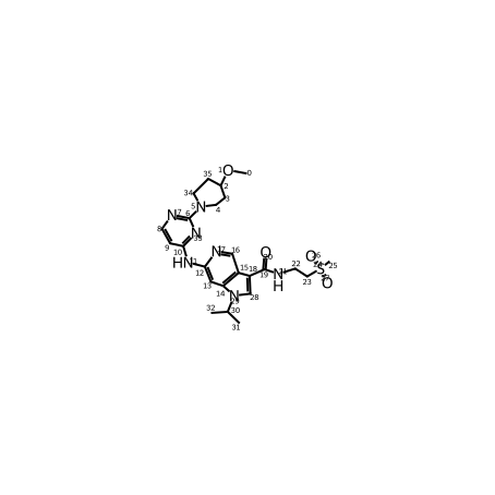 COC1CCN(c2nccc(Nc3cc4c(cn3)c(C(=O)NCCS(C)(=O)=O)cn4C(C)C)n2)CC1